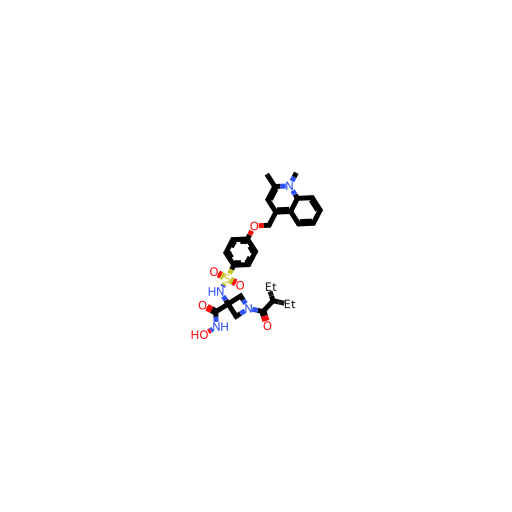 CCC(CC)C(=O)N1CC(NS(=O)(=O)c2ccc(OCC3=C4C=CC=CC4N(C)C(C)=C3)cc2)(C(=O)NO)C1